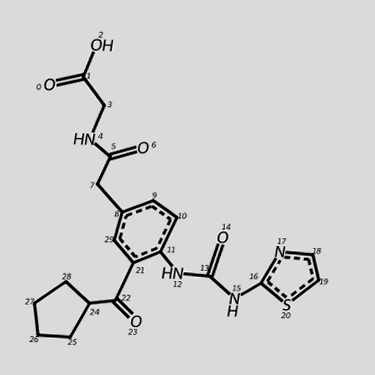 O=C(O)CNC(=O)Cc1ccc(NC(=O)Nc2nccs2)c(C(=O)C2CCCC2)c1